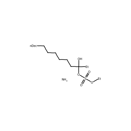 CCCCCCCCCCCCCCCCC(O)(CC)OS(=O)(=O)OCC.N